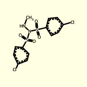 CNN(S(=O)(=O)c1ccc(Cl)cc1)S(=O)(=O)c1ccc(Cl)cc1